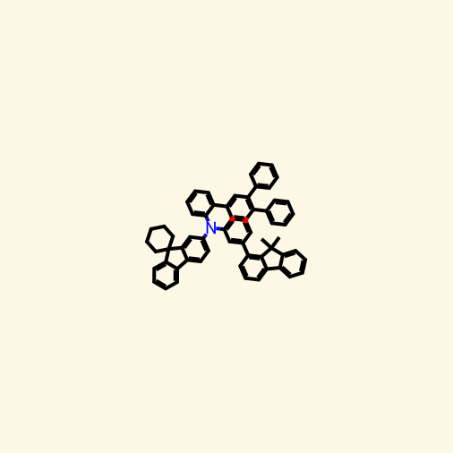 CC1(C)c2ccccc2-c2cccc(-c3cccc(N(c4ccc5c(c4)C4(CCCCC4)c4ccccc4-5)c4ccccc4-c4ccc(-c5ccccc5)c(-c5ccccc5)c4)c3)c21